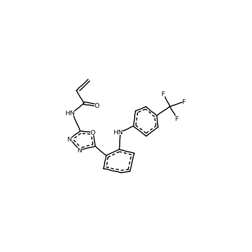 C=CC(=O)Nc1nnc(-c2ccccc2Nc2ccc(C(F)(F)F)cc2)o1